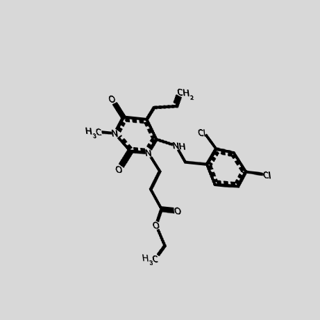 C=CCc1c(NCc2ccc(Cl)cc2Cl)n(CCC(=O)OCC)c(=O)n(C)c1=O